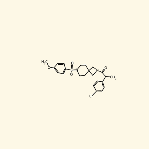 COc1ccc(S(=O)(=O)N2CCC3(CC2)CN(C(=O)C(C)c2ccc(Cl)cc2)C3)cc1